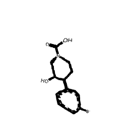 O=C(O)N1CCC(c2cccc(Br)c2)C(O)C1